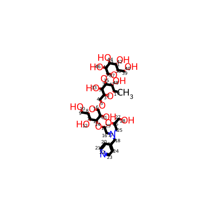 CC1OC(COC2OC(CO)C(O)C(OC3CN(Cc4ccncc4)CC(CO)O3)C2O)C(O)C(OC2OC(CO)C(O)C(O)C2O)C1O